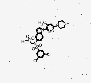 Cc1cc(N2CCNCC2)nnc1-n1ccc2cc(N(CP(=O)(O)O)S(=O)(=O)c3cc(Cl)cc(Cl)c3)ccc21